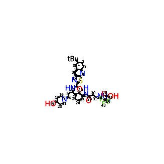 CC(C)(C)[C@H]1CCc2nc3sc(C(=O)N[C@H](CCN4CCC(O)CC4)c4cccc(NC(=O)CCN)c4)nc3cc2C1.O=C(O)C(F)(F)F